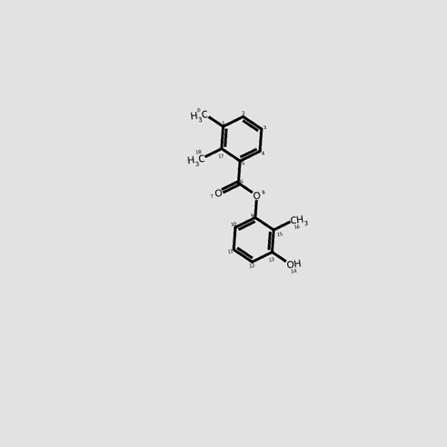 Cc1cccc(C(=O)Oc2cccc(O)c2C)c1C